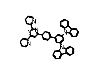 C1=CN=C(c2nc(C3=CCCC=N3)cc(C3C=CC(c4cc(-n5c6ccccc6c6ccccc65)cc(-n5c6ccccc6c6ccccc65)c4)=CC3)n2)CC1